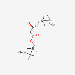 CCCCCCCCCC(C)(C)[Si](C)(C)COC(=O)CC(=O)OC[Si](C)(C)C(C)(C)CCCCCCCCC